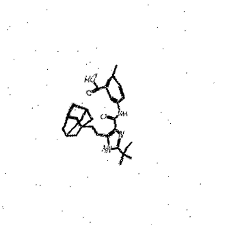 Cc1ccc(NC(=O)c2nc(C(C)(C)C)[nH]c2CCC23CC4CC(CC(C4)C2)C3)cc1C(=O)O